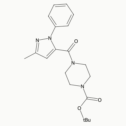 Cc1cc(C(=O)N2CCN(C(=O)OC(C)(C)C)CC2)n(-c2ccccc2)n1